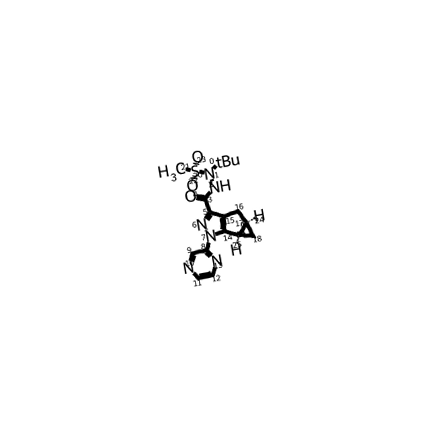 CC(C)(C)N(NC(=O)c1nn(-c2cnccn2)c2c1C[C@H]1C[C@@H]21)S(C)(=O)=O